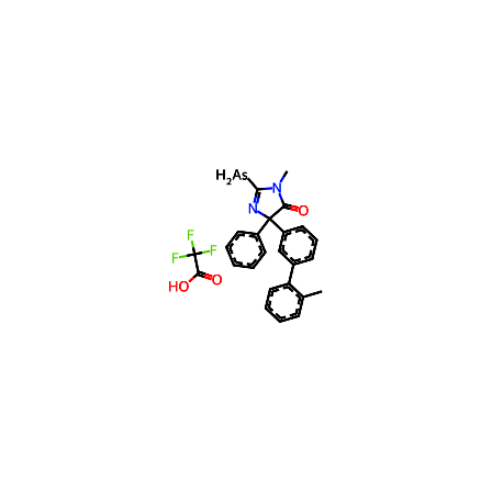 Cc1ccccc1-c1cccc(C2(c3ccccc3)N=C([AsH2])N(C)C2=O)c1.O=C(O)C(F)(F)F